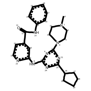 CN1CCN(c2nc(Nc3cc(C(=O)Nc4ccccc4)ccn3)nc(C3CCCC3)n2)CC1